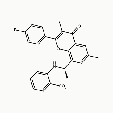 Cc1cc([C@@H](C)Nc2ccccc2C(=O)O)c2oc(-c3ccc(F)cc3)c(C)c(=O)c2c1